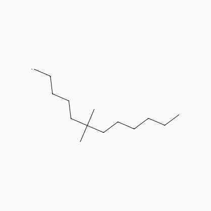 [CH2]CCCCC(C)(C)CCCCCC